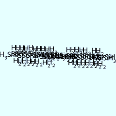 [SiH3][SiH2][SiH2][SiH2][SiH2][SiH2][SiH2][SiH2][SiH2][SiH2][SiH2][SiH2][SiH2][SiH2][SiH2][SiH2][SiH2][SiH2][SiH2][SiH2][SiH2][SiH2][SiH2][SiH2][SiH2][SiH2][SiH2][SiH2][SiH2][SiH2][SiH2][SiH2][SiH2][SiH2][SiH2][SiH2][SiH2][SiH2][SiH2][SiH2][SiH2][SiH2][SiH2][SiH2][SiH2][SiH3]